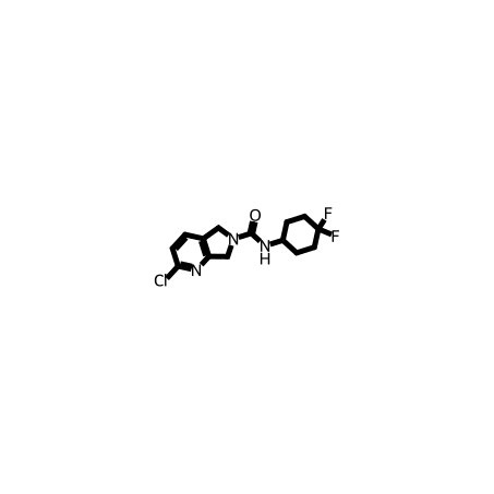 O=C(NC1CCC(F)(F)CC1)N1Cc2ccc(Cl)nc2C1